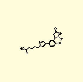 O=C(O)CCCCn1cc(-c2ccc(O)c(N3CC(=O)N[S+]3[O-])c2)cn1